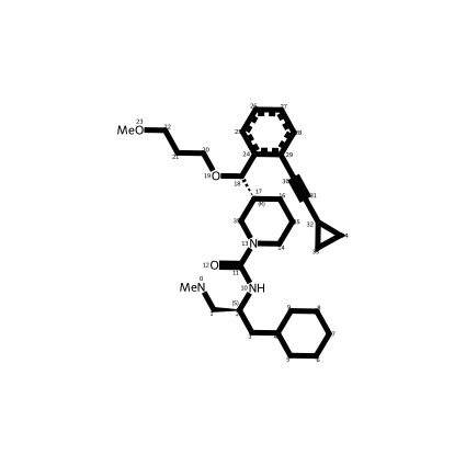 CNC[C@H](CC1CCCCC1)NC(=O)N1CCC[C@@H](C(OCCCOC)c2ccccc2C#CC2CC2)C1